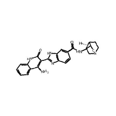 Nc1c(-c2nc3ccc(C(=O)N[C@@H]4CN5CCC4CC5)cc3[nH]2)c(=O)[nH]c2ccccc12